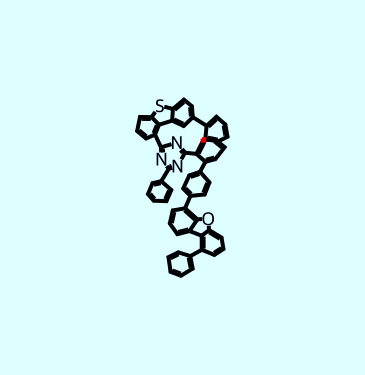 c1ccc(-c2ccc3sc4cccc(-c5nc(-c6ccccc6)nc(-c6ccccc6-c6ccc(-c7cccc8c7oc7cccc(-c9ccccc9)c78)cc6)n5)c4c3c2)cc1